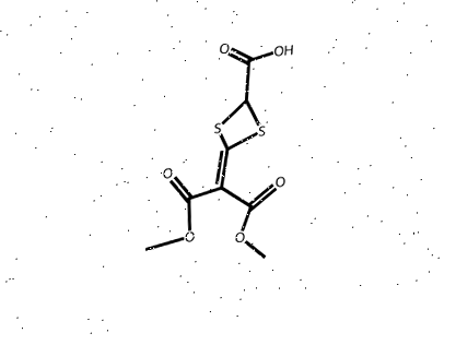 COC(=O)C(C(=O)OC)=C1SC(C(=O)O)S1